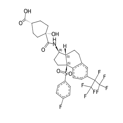 O=C(O)[C@H]1CC[C@](O)(C(=O)N[C@@H]2CC[C@@]3(S(=O)(=O)c4ccc(F)cc4)c4ccc(C(F)(C(F)(F)F)C(F)(F)F)cc4CC[C@@H]23)CC1